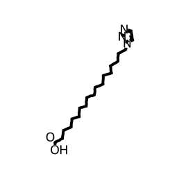 O=C(O)CCCCCCCCCCCCCCCCCn1ccnn1